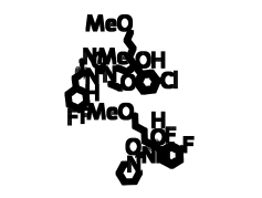 CNC[C@H](CC1CCC(F)(F)CC1)NC(=O)N1CCOC(C(O)(CCCCOC)c2cccc(Cl)c2)C1.COCCCC[C@@](O)(NC(=O)N1CCCCC1)c1cccc(F)c1F